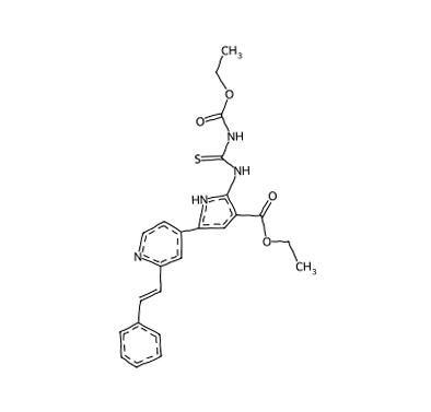 CCOC(=O)NC(=S)Nc1[nH]c(-c2ccnc(/C=C/c3ccccc3)c2)cc1C(=O)OCC